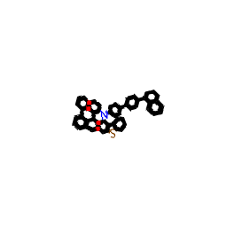 c1ccc(-c2cccc3cccc(-c4ccccc4N(c4ccc(-c5ccc(-c6cccc7ccccc67)cc5)cc4)c4cccc5sc6ccccc6c45)c23)cc1